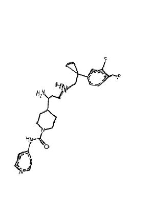 NC(CNCC1(c2ccc(F)c(F)c2)CC1)C1CCN(C(=O)Nc2ccncc2)CC1